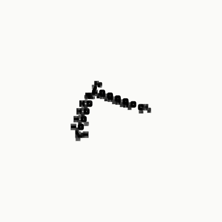 N#[C][Fe].O.O.O.O.O.O.O.O.O.O.[NaH]